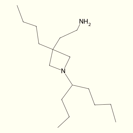 CCCCC(CCC)N1CC(CCN)(CCCC)C1